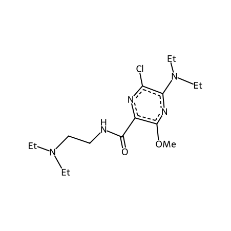 CCN(CC)CCNC(=O)c1nc(Cl)c(N(CC)CC)nc1OC